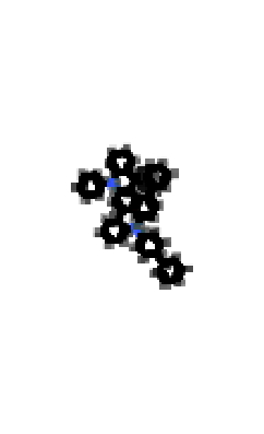 CC1(C)c2ccccc2N(c2ccccc2)c2cc(-c3ccccc3N(c3ccc(-c4ccccc4)cc3)c3ccc(-c4ccccc4)cc3)ccc21